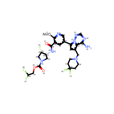 COc1ncc(-c2cc(CN3CCC(F)(F)CC3)c3c(N)ncnn23)cc1C(=O)N[C@@H]1CN(C(=O)OCC(F)F)C[C@@H]1F